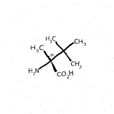 CC(C)(C)[C@@](C)(N)C(=O)O